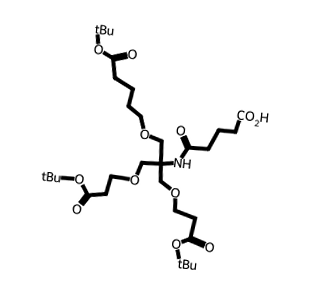 CC(C)(C)OC(=O)CCCCOCC(COCCC(=O)OC(C)(C)C)(COCCC(=O)OC(C)(C)C)NC(=O)CCCC(=O)O